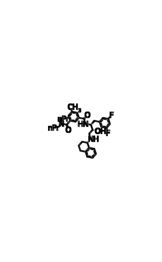 CCCN(CCC)C(=O)c1cc(C)cc(C(=O)N[C@@H](Cc2cc(F)cc(F)c2)[C@H](O)CN[C@H]2CCCc3ccccc32)c1